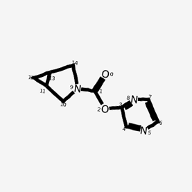 O=C(Oc1cnccn1)N1CC2CC2C1